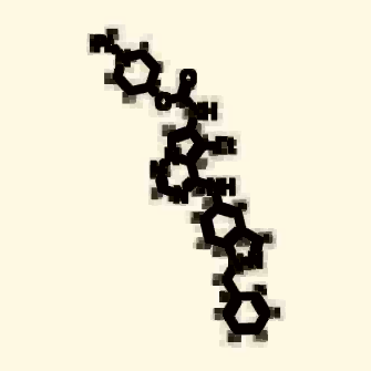 CCc1c(NC(=O)OC2CCN(C(C)C)CC2)cn2ncnc(Nc3ccc4c(cnn4Cc4ccccc4)c3)c12